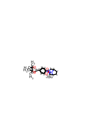 CC(C)(C)OC(=O)N1C2CCC1CN(c1ccc(B3OC(C)(C)C(C)(C)O3)cc1)C2